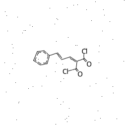 O=C(Cl)C(=C/C=C/c1ccccc1)C(=O)Cl